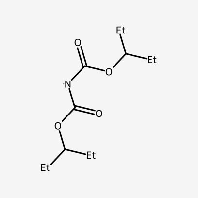 CCC(CC)OC(=O)[N]C(=O)OC(CC)CC